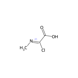 C/N=C(\Cl)C(=O)O